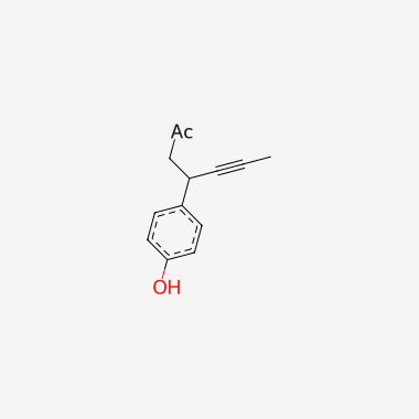 CC#CC(CC(C)=O)c1ccc(O)cc1